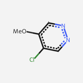 COc1[c]nncc1Cl